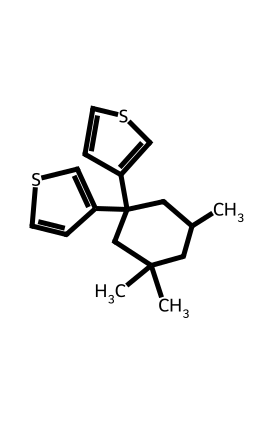 CC1CC(C)(C)CC(c2ccsc2)(c2ccsc2)C1